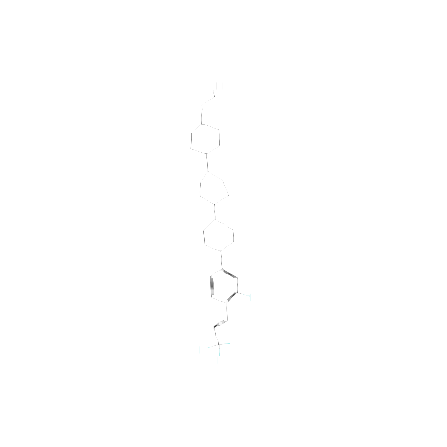 CCCC1CCC(C2CCC(C3CCC(c4ccc(/C=C/C(F)(F)F)c(F)c4)CC3)CC2)CC1